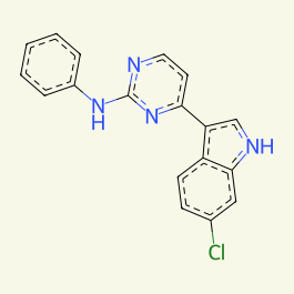 Clc1ccc2c(-c3ccnc(Nc4ccccc4)n3)c[nH]c2c1